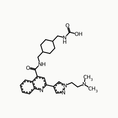 CN(C)CCn1cc(-c2cc(C(=O)NCC3CCC(CNC(=O)O)CC3)c3ccccc3n2)cn1